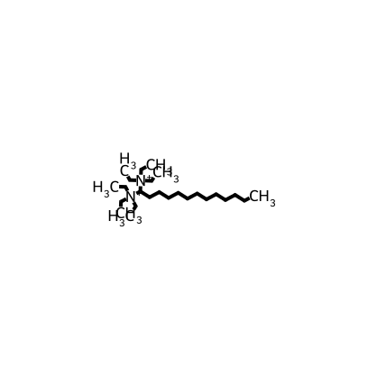 CCCCCCCCCCCCC([N+](CC)(CC)CC)[N+](CC)(CC)CC